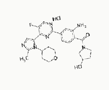 Cc1ncc(-c2nc(-c3ccc(C(=O)N4CCC(O)C4)c(N)c3)ncc2F)n1C1CCOCC1.Cl